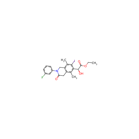 CCOC(=O)[C@@H](O)c1c(C)c2c(c(C)c1I)CN(c1cccc(F)c1)C(=O)C2